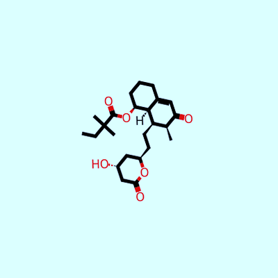 CCC(C)(C)C(=O)O[C@H]1CCCC2=CC(=O)[C@@H](C)[C@@H](CC[C@@H]3C[C@@H](O)CC(=O)O3)[C@H]21